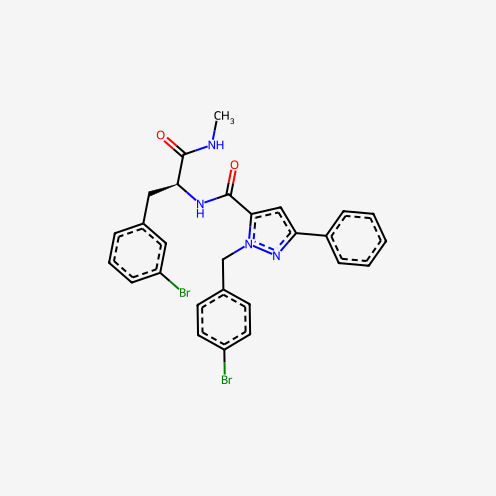 CNC(=O)[C@H](Cc1cccc(Br)c1)NC(=O)c1cc(-c2ccccc2)nn1Cc1ccc(Br)cc1